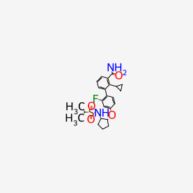 CC(C)S(=O)(=O)N[C@H]1CCC[C@H]1Oc1ccc(-c2cccc(C(N)=O)c2C2CC2)c(F)c1